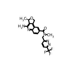 C[C@H]1OCc2c1c(N)nc1ccc(C(=O)N(C)Cc3ccc(C(F)(F)F)nn3)cc21